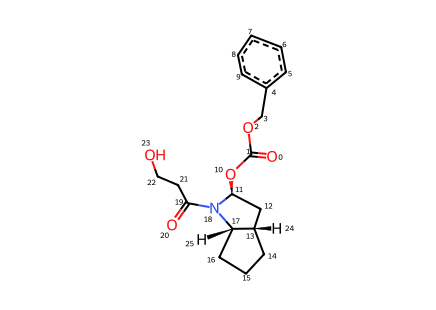 O=C(OCc1ccccc1)O[C@H]1C[C@@H]2CCC[C@@H]2N1C(=O)CCO